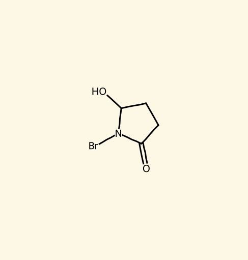 O=C1CCC(O)N1Br